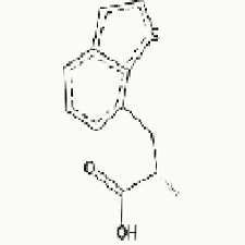 C[C@@H](Cc1cccc2ccsc12)C(=O)O